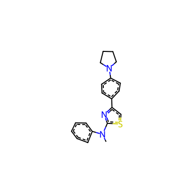 CN(c1ccccc1)c1nc(-c2ccc(N3CCCC3)cc2)cs1